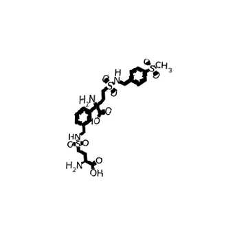 CS(=O)(=O)c1ccc(CNS(=O)(=O)CCC(N)(C(=O)O)c2cccc(CNS(=O)(=O)CC[C@H](N)C(=O)O)c2)cc1